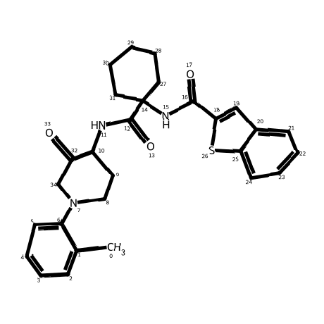 Cc1ccccc1N1CCC(NC(=O)C2(NC(=O)c3cc4ccccc4s3)CCCCC2)C(=O)C1